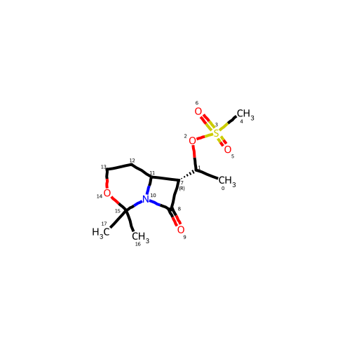 CC(OS(C)(=O)=O)[C@@H]1C(=O)N2C1CCOC2(C)C